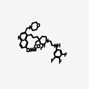 COc1ccc2ncc(CN3CCOCC3)c(CCCC3(CC(=O)O)CCN(CCNc4cc(F)c(F)c(F)c4)CC3)c2c1